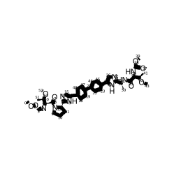 COO/C=N\[C@H](C(=O)N1CCC[C@H]1c1ncc(-c2ccc(-c3ccc(-c4cnc([C@@H](C)NC(=O)[C@@H](NC(=O)OC)[C@@H](C)OC)[nH]4)cc3)cc2)[nH]1)[C@@H](C)OC